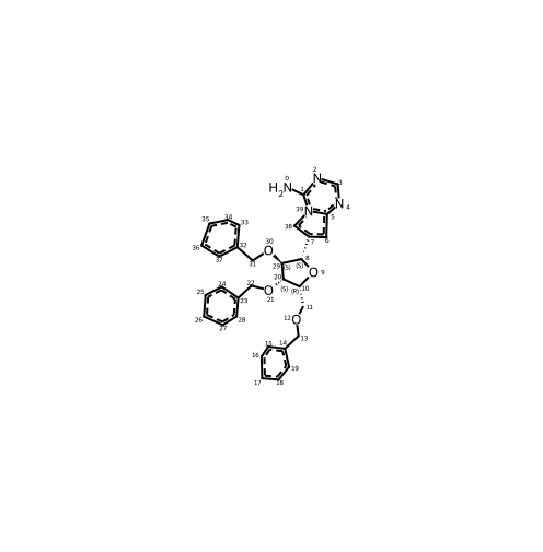 Nc1ncnc2cc([C@@H]3O[C@H](COCc4ccccc4)[C@H](OCc4ccccc4)[C@H]3OCc3ccccc3)cn12